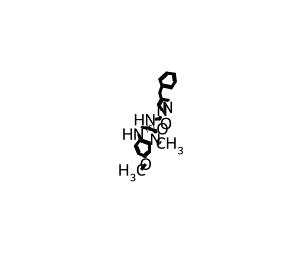 COc1ccc2c(c1)N(C)C(=O)[C@@H](NC(=O)n1cc(Cc3ccccc3)cn1)CN2